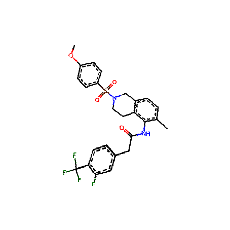 COc1ccc(S(=O)(=O)N2CCc3c(ccc(C)c3NC(=O)Cc3ccc(C(F)(F)F)c(F)c3)C2)cc1